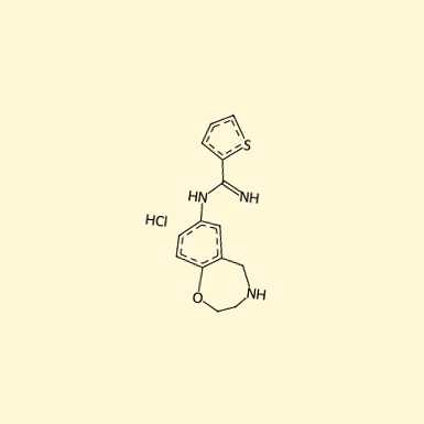 Cl.N=C(Nc1ccc2c(c1)CNCCO2)c1cccs1